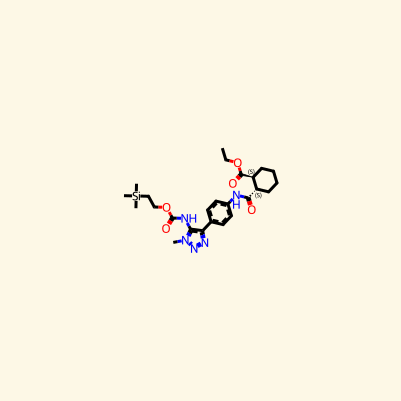 CCOC(=O)[C@H]1CCCC[C@@H]1C(=O)Nc1ccc(-c2nnn(C)c2NC(=O)OCC[Si](C)(C)C)cc1